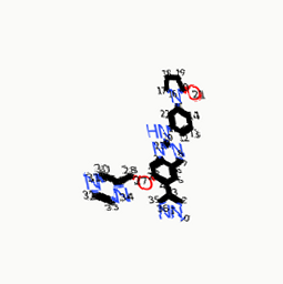 Cn1cc(-c2cc3cnc(Nc4cccc(N5CCCC5=O)c4)nc3cc2OCc2cnccn2)cn1